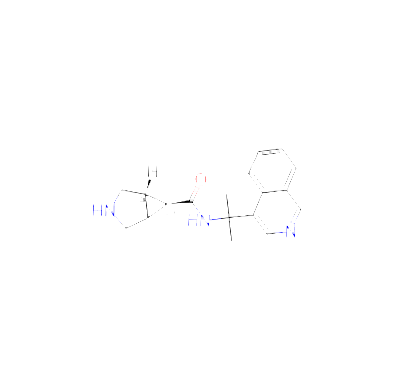 CC(C)(NC(=O)[C@H]1C2CNC[C@@H]21)c1cncc2ccccc12